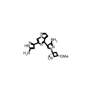 CO[C@H]1C[C@](CC#N)(n2cc(-c3nc(-c4cc(N)[nH]n4)cn4nccc34)c(N)n2)C1